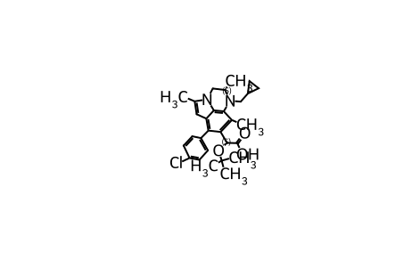 Cc1c([C@H](OC(C)(C)C)C(=O)O)c(-c2ccc(Cl)cc2)c2cc(C)n3c2c1N(CC1CC1)[C@@H](C)C3